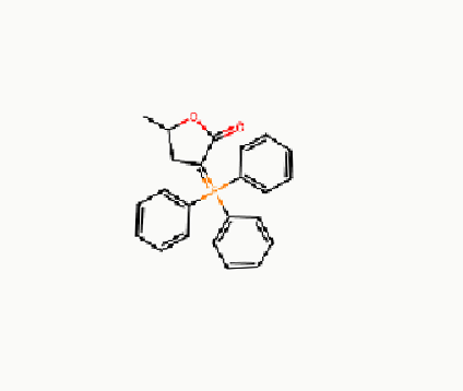 CC1CC(=P(c2ccccc2)(c2ccccc2)c2ccccc2)C(=O)O1